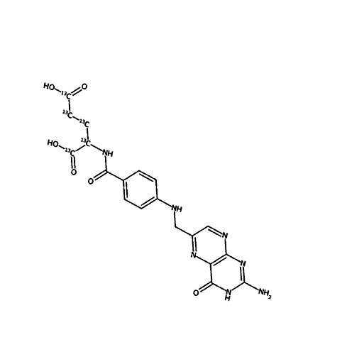 Nc1nc2ncc(CNc3ccc(C(=O)N[13CH]([13CH2][13CH2][13C](=O)O)[13C](=O)O)cc3)nc2c(=O)[nH]1